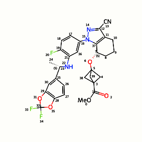 COC(=O)C12CC(O[C@H]3CCCc4c(C#N)nn(-c5ccc(F)c(N[C@@H](C)c6ccc7c(c6)OC(F)(F)O7)c5)c43)(C1)C2